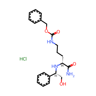 Cl.NC(=O)[C@@H](CCCNC(=O)OCc1ccccc1)N[C@H](CO)c1ccccc1